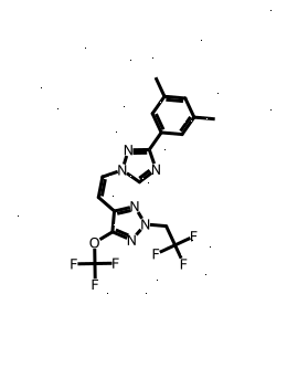 Cc1cc(C)cc(-c2ncn(/C=C\c3nn(CC(F)(F)F)nc3OC(F)(F)F)n2)c1